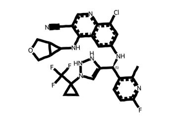 Cc1nc(F)ccc1[C@H](Nc1cc(Cl)c2ncc(C#N)c(NC3C4COCC43)c2c1)C1=CN(C2(C(F)(F)F)CC2)NN1